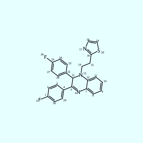 Fc1ccc(C2=Nc3ccccc3N(CCc3nccs3)C2c2ccc(F)cc2)cc1